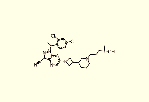 CC(c1ccc(Cl)cc1Cl)n1nc(C#N)c2ncc(N3CC([C@@H]4CCCN(CCCC(C)(C)O)C4)C3)nc21